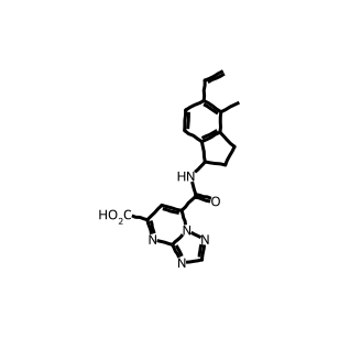 C=Cc1ccc2c(c1C)CCC2NC(=O)c1cc(C(=O)O)nc2ncnn12